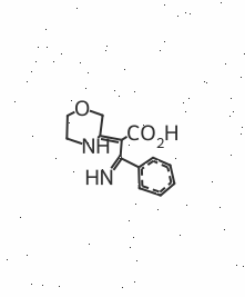 N=C(/C(C(=O)O)=C1/COCCN1)c1ccccc1